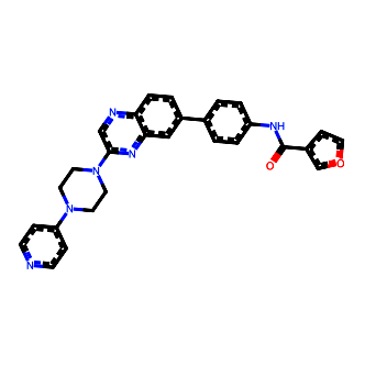 O=C(Nc1ccc(-c2ccc3ncc(N4CCN(c5ccncc5)CC4)nc3c2)cc1)c1ccoc1